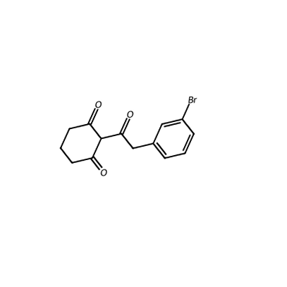 O=C1CCCC(=O)C1C(=O)Cc1cccc(Br)c1